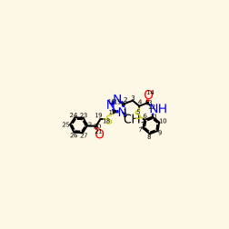 Cn1c(CC2Sc3ccccc3NC2=O)nnc1SCC(=O)c1ccccc1